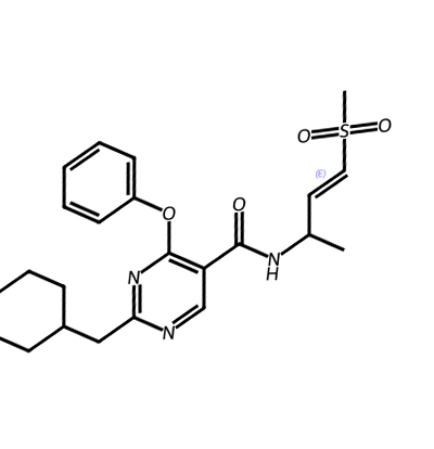 CC(/C=C/S(C)(=O)=O)NC(=O)c1cnc(CC2CCCCC2)nc1Oc1ccccc1